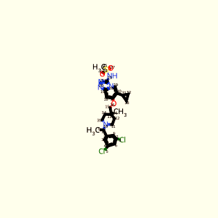 CC(c1cc(Cl)cc(Cl)c1)N1CCC(C)(COc2cc3nnc(NS(C)(=O)=O)n3cc2C2CC2)CC1